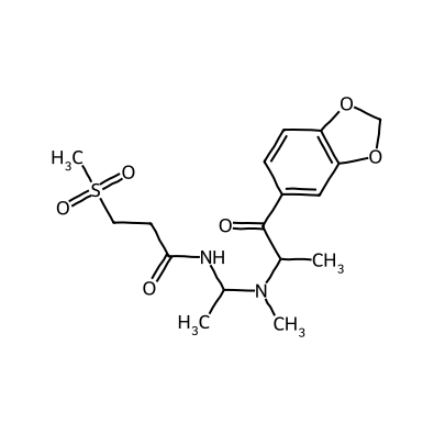 CC(NC(=O)CCS(C)(=O)=O)N(C)C(C)C(=O)c1ccc2c(c1)OCO2